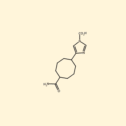 NC(=O)C1CCCC(c2cn(C(=O)O)cn2)CCC1